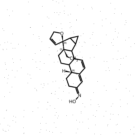 CC[C@]12CCC3C(C=CC4=CC(=NO)CC[C@@H]43)C1C1CC1[C@@]21C=CCO1